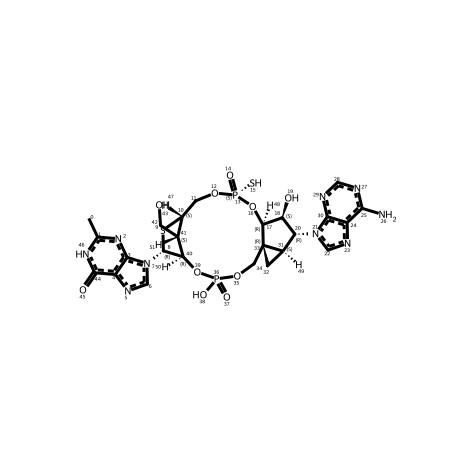 Cc1nc2c(ncn2[C@@H]2S[C@@H]3CO[P@](=O)(S)O[C@H]4[C@@H](O)[C@H](n5cnc6c(N)ncnc65)[C@H]5C[C@]54COP(=O)(O)O[C@@H]2[C@@H]3CO)c(=O)[nH]1